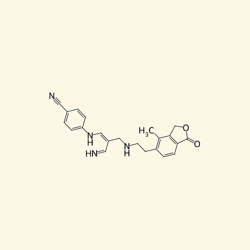 Cc1c(CCNC/C(C=N)=C/Nc2ccc(C#N)cc2)ccc2c1COC2=O